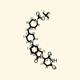 CC(C)(C)OC(=O)N1CCC(CC2CCN(c3ccc4c(c3)CN(C3CCC(=O)NC3=O)C4=O)CC2)CC1